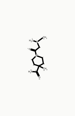 CN(C)CC(=O)N1CCC(C)(C(N)=O)CC1